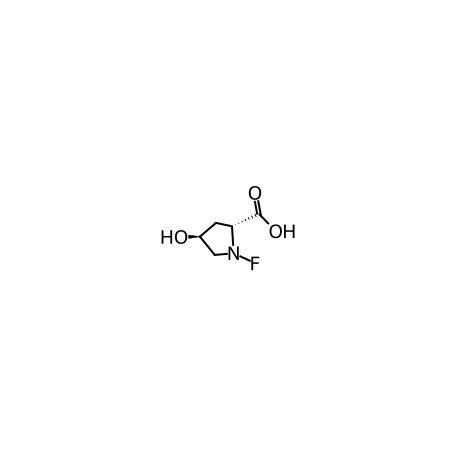 O=C(O)[C@H]1C[C@H](O)CN1F